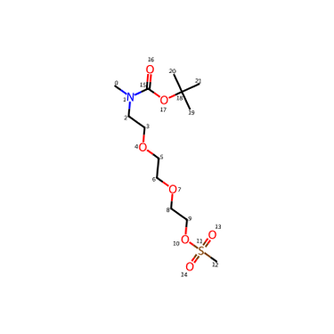 CN(CCOCCOCCOS(C)(=O)=O)C(=O)OC(C)(C)C